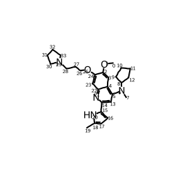 COc1cc2c(N(C)C3CCCC3)cc(-c3ccc(C)[nH]3)nc2cc1OCCCN1CCCC1